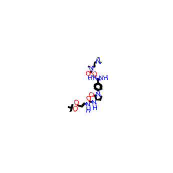 CN(C)CCN(C)C(=O)ONC(=N)c1ccc(N2CC[C@H](NC(=O)NCCC(=O)OC(C)(C)C)C2=O)cc1